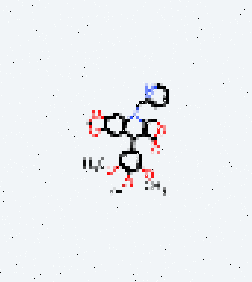 COc1cc(C2C3=C(COC3=O)N(Cc3ccccn3)c3cc4c(cc32)OCO4)cc(OC)c1OC